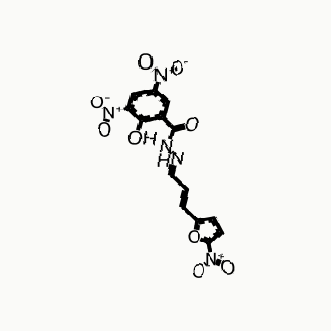 O=C(NN=CC=Cc1ccc([N+](=O)[O-])o1)c1cc([N+](=O)[O-])cc([N+](=O)[O-])c1O